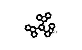 c1ccc2c(c1)cc(-c1cc(-c3cc4ccccc4c4ccccc34)cc(-c3cccc4[nH]c5ccccc5c34)c1)c1ccccc12